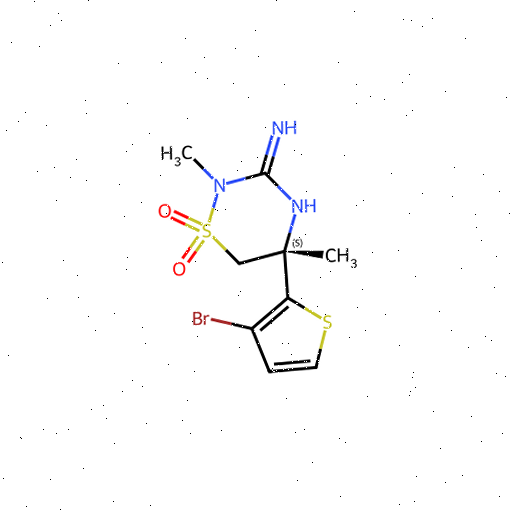 CN1C(=N)N[C@](C)(c2sccc2Br)CS1(=O)=O